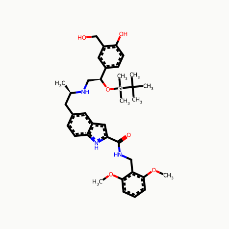 COc1cccc(OC)c1CNC(=O)c1cc2cc(C[C@@H](C)NC[C@H](O[Si](C)(C)C(C)(C)C)c3ccc(O)c(CO)c3)ccc2[nH]1